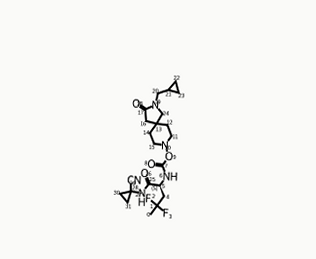 CC(F)(F)C[C@H](NC(=O)ON1CCC2(CC1)CC(=O)N(CC1CC1)C2)C(=O)NC1(C#N)CC1